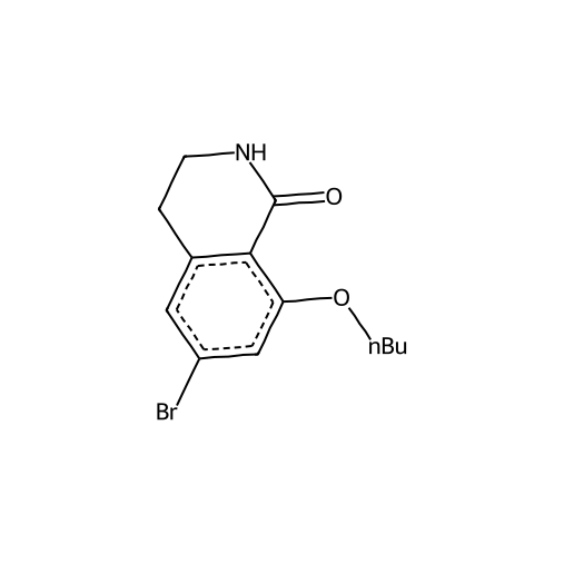 CCCCOc1cc(Br)cc2c1C(=O)NCC2